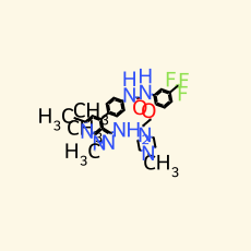 CN1CCN(CCOc2ccc(C(F)(F)F)cc2NC(=O)Nc2ccc(-c3cc(C(C)(C)C)nc4c3c(N)nn4C)cc2)CC1